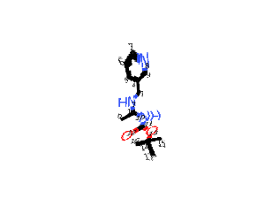 CC(NCc1cccnc1)NC(=O)OC(C)(C)C